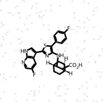 O=C(O)[C@@H]1C(Nc2nc(-c3c[nH]c4ncc(F)cc34)sc2-c2ccc(F)cc2)[C@H]2CC[C@@H]1CC2